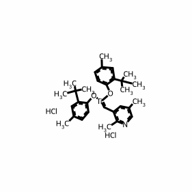 Cc1cnc(C)c([CH]=[Ti]([O]c2ccc(C)cc2C(C)(C)C)[O]c2ccc(C)cc2C(C)(C)C)c1.Cl.Cl